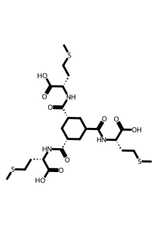 CSCC[C@H](NC(=O)C1C[C@H](C(=O)N[C@@H](CCSC)C(=O)O)C[C@H](C(=O)N[C@@H](CCSC)C(=O)O)C1)C(=O)O